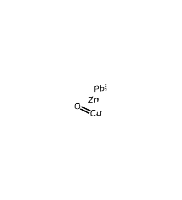 [O]=[Cu].[Pb].[Zn]